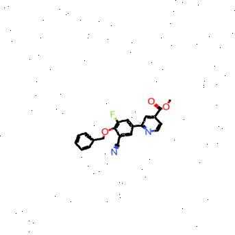 COC(=O)c1ccnc(-c2cc(F)c(OCc3ccccc3)c(C#N)c2)c1